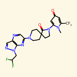 Cn1c(N2CCC3(CCN(c4cnc5cnn(CC(F)F)c5n4)CC3)C2=O)cc(=O)cc1C(F)(F)F